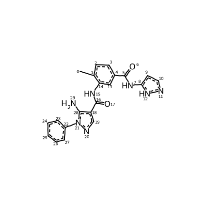 Cc1ccc(C(=O)Nc2ccn[nH]2)cc1NC(=O)c1cnn(-c2ccccc2)c1N